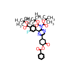 CC(C)(C)OC(=O)c1ccc(-c2nc(C3CCC(OC(=O)c4ccccc4)C(=O)C3)cnc2N(C(=O)OC(C)(C)C)C(=O)OC(C)(C)C)cc1F